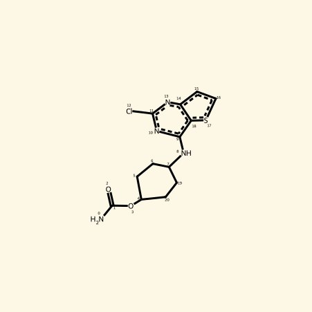 NC(=O)OC1CCC(Nc2nc(Cl)nc3ccsc23)CC1